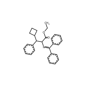 CCOC(=O)C(N=C(c1ccccc1)c1ccccc1)C(c1ccccc1)C1CCC1